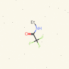 [CH2]CNC(=O)C(F)(F)F